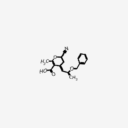 C=C(/C=C1\CC(C#N)OC(C)=C1C(=O)O)OCc1ccccc1